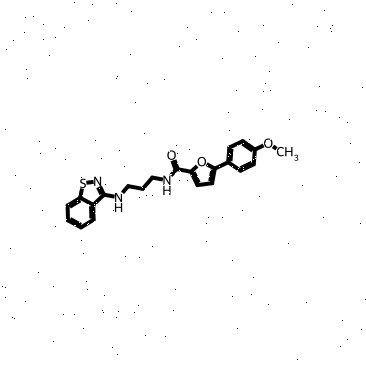 COc1ccc(-c2ccc(C(=O)NCCCNc3nsc4ccccc34)o2)cc1